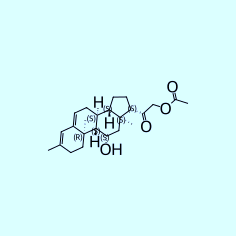 CC(=O)OCC(=O)[C@H]1CC[C@H]2[C@@H]3CC=C4C=C(C)CC[C@]4(C)[C@H]3[C@@H](O)C[C@]12C